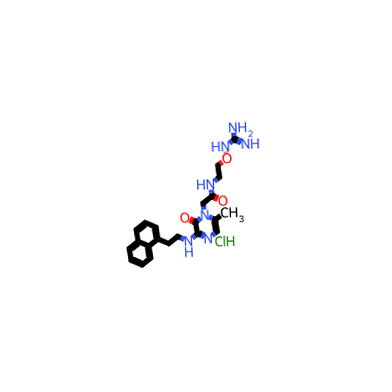 Cc1cnc(NCCc2cccc3ccccc23)c(=O)n1CC(=O)NCCONC(=N)N.Cl